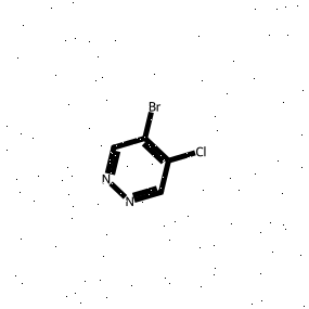 Clc1cnncc1Br